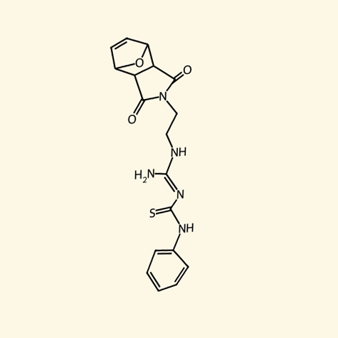 N/C(=N\C(=S)Nc1ccccc1)NCCN1C(=O)C2C3C=CC(O3)C2C1=O